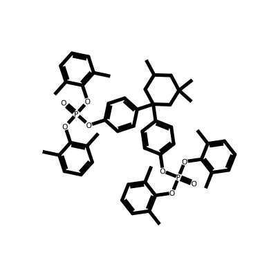 Cc1cccc(C)c1OP(=O)(Oc1ccc(C2(c3ccc(OP(=O)(Oc4c(C)cccc4C)Oc4c(C)cccc4C)cc3)CC(C)CC(C)(C)C2)cc1)Oc1c(C)cccc1C